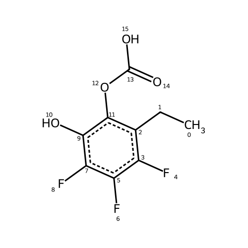 CCc1c(F)c(F)c(F)c(O)c1OC(=O)O